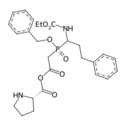 CCOC(=O)NC(CCc1ccccc1)P(=O)(CC(=O)OC(=O)[C@@H]1CCCN1)OCc1ccccc1